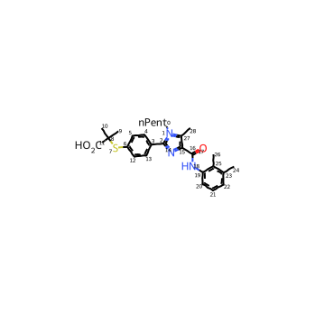 CCCCCn1c(-c2ccc(SC(C)(C)C(=O)O)cc2)nc(C(=O)Nc2cccc(C)c2C)c1C